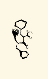 N#CCN(Cc1cccnc1)C(=O)C(CC1CCCCC1)C(N)=O